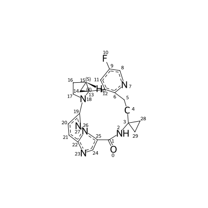 O=C1NC2(CCc3ncc(F)cc3[C@@]34C[C@@H]3CCN4c3ccc4ncc1n4n3)CC2